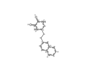 O=c1[nH]cc(CCc2ccc3ncccc3c2)[nH]c1=O